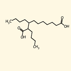 CCCCC(CCCCCCC(=O)O)C(CCCC)C(=O)O